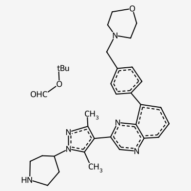 CC(C)(C)OC=O.Cc1nn(C2CCNCC2)c(C)c1-c1cnc2cccc(-c3ccc(CN4CCOCC4)cc3)c2n1